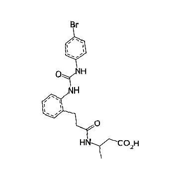 CC(CC(=O)O)NC(=O)CCc1ccccc1NC(=O)Nc1ccc(Br)cc1